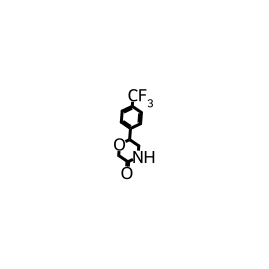 O=C1COC(c2ccc(C(F)(F)F)cc2)CN1